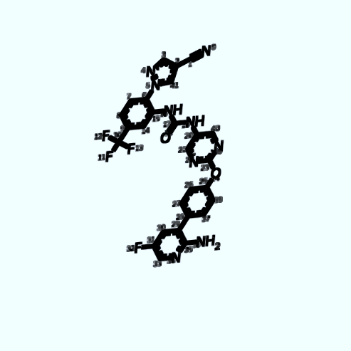 N#Cc1cnn(-c2ccc(C(F)(F)F)cc2NC(=O)Nc2cnc(Oc3ccc(-c4cc(F)cnc4N)cc3)nc2)c1